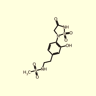 CS(=O)(=O)NCCc1ccc(N2CC(=O)NS2(=O)=O)c(O)c1